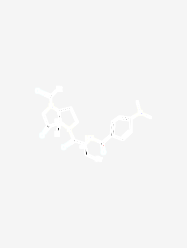 CCC(=O)N1CC(=O)[C@@H]2C1CCN2C(=O)[C@H](CC(C)C)NC(=O)c1ccc(N(C)C)cc1